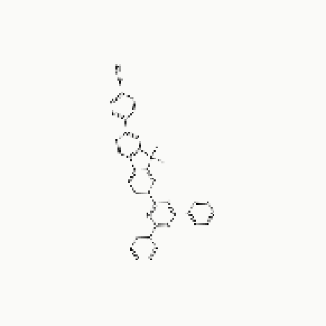 CC1(C)c2cc(-c3ccc(C#N)cc3)ccc2-c2ccc(-c3nc(-c4ccccc4)nc(-c4ccccc4)n3)cc21